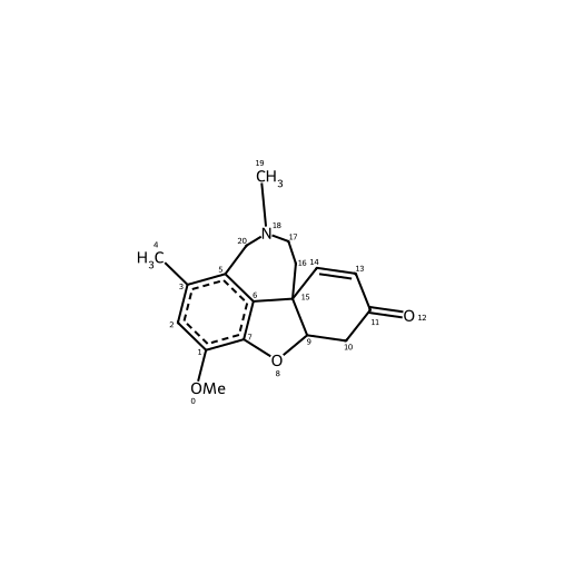 COc1cc(C)c2c3c1OC1CC(=O)C=CC31CCN(C)C2